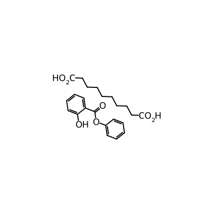 O=C(O)CCCCCCCCC(=O)O.O=C(Oc1ccccc1)c1ccccc1O